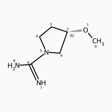 CO[C@H]1CCN(C(=N)N)C1